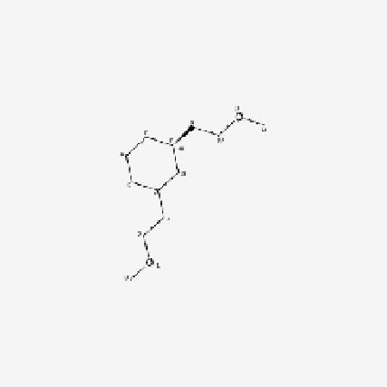 COCCC1CCC[C@@H](CCOC)C1